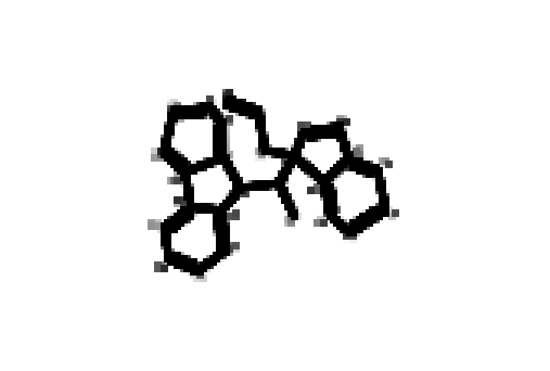 C=CCC1(C(C)C2c3ccccc3-c3ccccc32)C=Cc2ccccc21